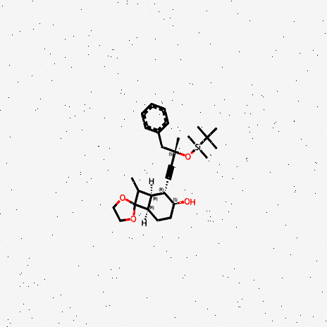 CC1[C@H]2[C@H](C#C[C@](C)(Cc3ccccc3)O[Si](C)(C)C(C)(C)C)[C@@H](O)CC[C@H]2C12OCCO2